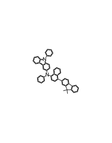 CC1(C)c2ccccc2-c2ccc(-c3ccc(N(c4ccccc4)c4ccc5c(c4)c4ccccc4n5-c4ccccc4)c4ccccc34)cc21